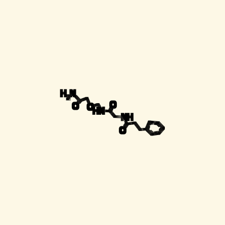 NC(=O)COCNC(=O)CNC(=O)CCc1ccccc1